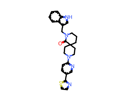 O=C1N(Cc2c[nH]c3ccccc23)CCCC12CCN(c1ccc(-c3nccs3)cn1)CC2